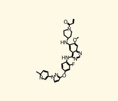 C=CC(=O)N1CCC(Nc2cc3c(Nc4ccc(Oc5ccn(-c6ccc(C)nc6)n5)cc4F)ncnc3cc2OC)CC1